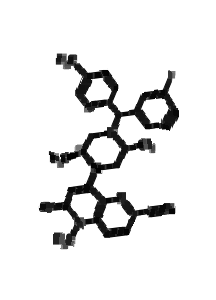 Cc1ccc(C(c2cccc(F)c2)N2C[C@H](C)N(c3cc(=O)n(C)c4ccc(C#N)nc34)CC2C)nc1